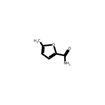 Cc1ccc(C(N)=O)o1